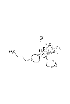 CCCCc1ccc([N](C2=CC=CC2)[Zr+2]([CH3])([CH3])([CH3])([CH3])[SiH](C)C)cc1.[Cl-].[Cl-]